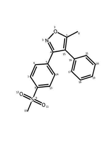 Cc1onc(-c2ccc(S(C)(=O)=O)cc2)c1-c1ccccc1